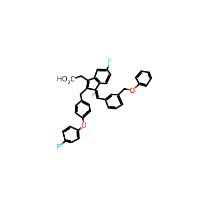 O=C(O)CC1=C(Cc2ccc(Oc3ccc(F)cc3)cc2)/C(=C/c2cccc(COc3ccccc3)c2)c2ccc(F)cc21